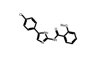 COc1ccccc1C(=O)Nc1ncc(-c2ccc(Cl)cc2)[nH]1